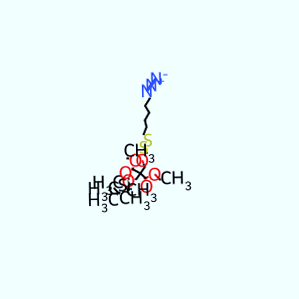 CCOC(=O)C(COCSSCCCCCCN=[N+]=[N-])(CO[Si](C)(C)C(C)(C)C)C(=O)OCC